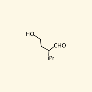 CC(C)C(C=O)CCO